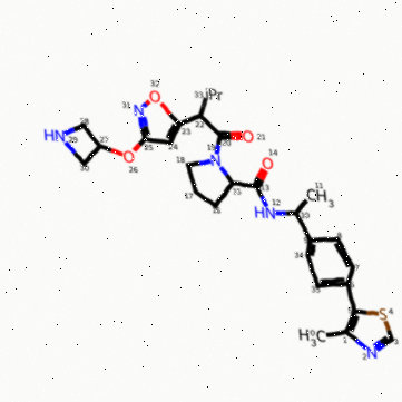 Cc1ncsc1-c1ccc(C(C)NC(=O)C2CCCN2C(=O)C(c2cc(OC3CNC3)no2)C(C)C)cc1